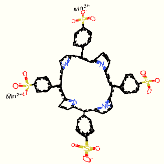 O=S(=O)([O-])c1ccc(-c2c3nc(c(-c4ccc(S(=O)(=O)[O-])cc4)c4ccc([nH]4)c(-c4ccc(S(=O)(=O)[O-])cc4)c4nc(c(-c5ccc(S(=O)(=O)[O-])cc5)c5ccc2[nH]5)C=C4)C=C3)cc1.[Mn+2].[Mn+2]